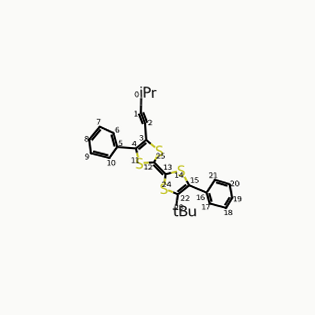 CC(C)C#CC1=C(c2ccccc2)S/C(=C2/SC(c3ccccc3)=C(C(C)(C)C)S2)S1